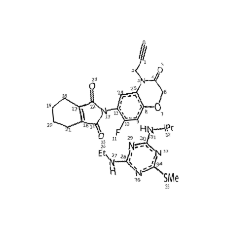 C#CCN1C(=O)COc2cc(F)c(N3C(=O)C4=C(CCCC4)C3=O)cc21.CCNc1nc(NC(C)C)nc(SC)n1